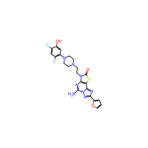 Nc1nc2c(sc(=O)n2CCN2CCN(c3cc(O)c(F)cc3F)CC2)c2nc(-c3ccco3)nn12